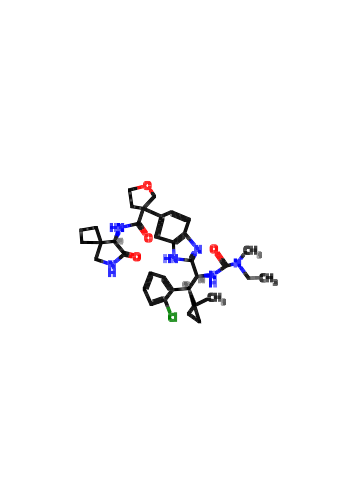 CCN(C)C(=O)N[C@H](c1nc2ccc(C3(C(=O)N[C@H]4C(=O)NCC45CCC5)CCOC3)cc2[nH]1)[C@H](c1ccccc1Cl)C1(C)CC1